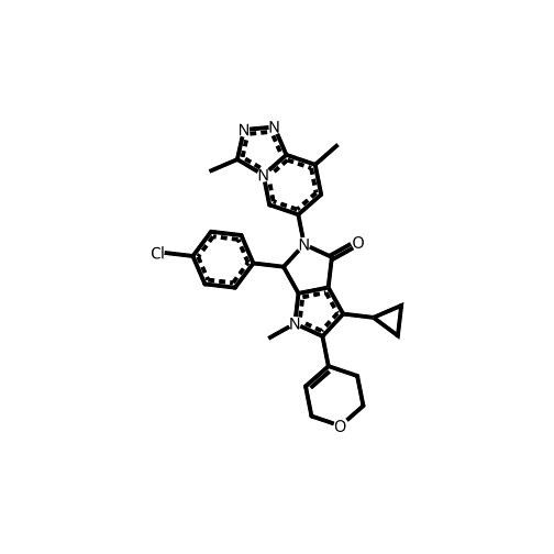 Cc1cc(N2C(=O)c3c(C4CC4)c(C4=CCOCC4)n(C)c3C2c2ccc(Cl)cc2)cn2c(C)nnc12